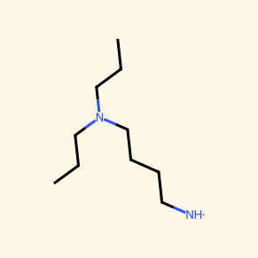 CCCN(CCC)CCCC[NH]